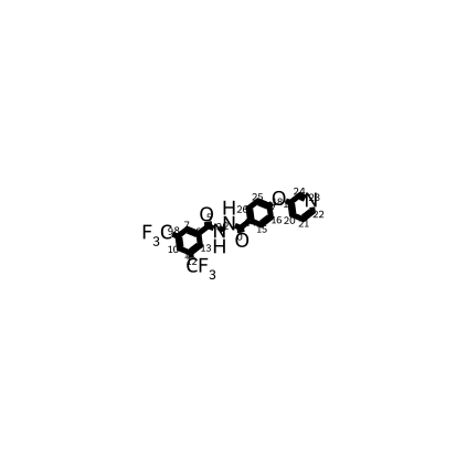 O=C(NNC(=O)c1cc(C(F)(F)F)cc(C(F)(F)F)c1)c1ccc(Oc2cccnc2)cc1